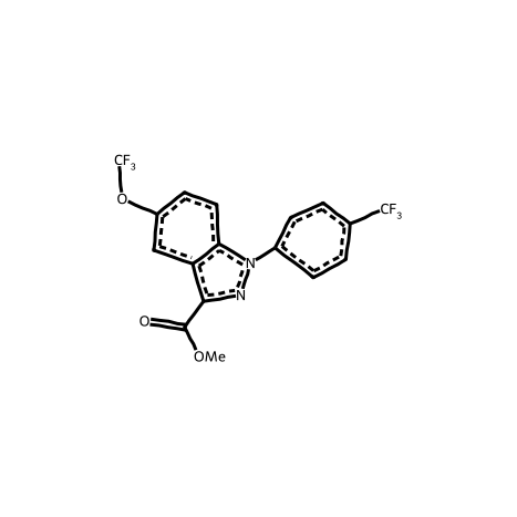 COC(=O)c1nn(-c2ccc(C(F)(F)F)cc2)c2ccc(OC(F)(F)F)cc12